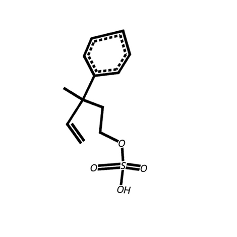 C=CC(C)(CCOS(=O)(=O)O)c1ccccc1